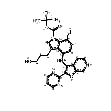 CC(C)(C)OC(=O)n1nc(CCCO)c2c(Nc3c(-c4ncccn4)oc4cnccc34)ccc(Cl)c21